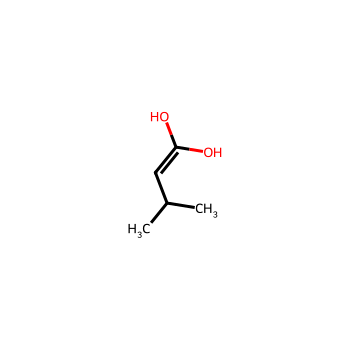 CC(C)C=C(O)O